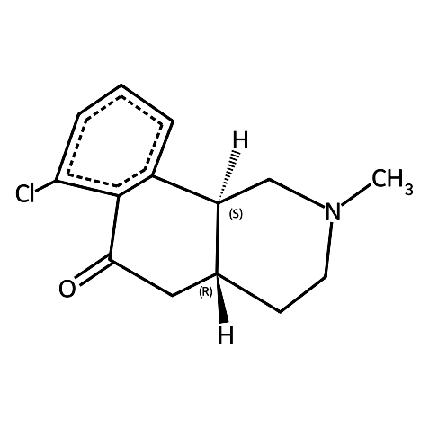 CN1CC[C@@H]2CC(=O)c3c(Cl)cccc3[C@H]2C1